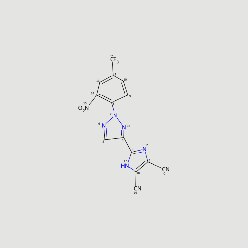 N#Cc1nc(-c2cnn(-c3ccc(C(F)(F)F)cc3[N+](=O)[O-])n2)[nH]c1C#N